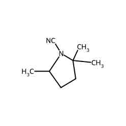 CC1CCC(C)(C)N1C#N